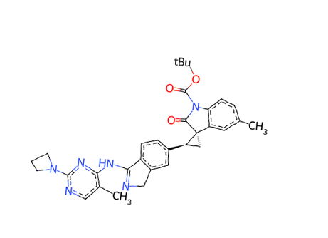 Cc1ccc2c(c1)[C@]1(C[C@H]1c1ccc3c(c1)CN=C3Nc1nc(N3CCC3)ncc1C)C(=O)N2C(=O)OC(C)(C)C